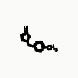 Cc1ccc(CC2C=CNC2)cc1